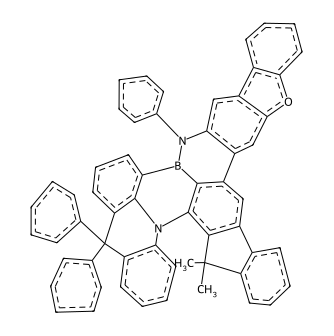 CC1(C)c2ccccc2-c2cc3c4c(c21)N1c2ccccc2C(c2ccccc2)(c2ccccc2)c2cccc(c21)B4N(c1ccccc1)c1cc2c(cc1-3)oc1ccccc12